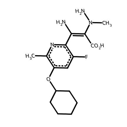 Cc1nc(/C(N)=C(\C(=O)O)N(C)N)c(F)cc1OC1CCCCC1